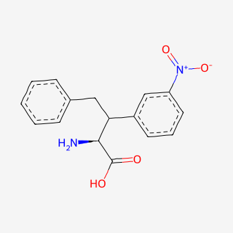 N[C@H](C(=O)O)C(Cc1ccccc1)c1cccc([N+](=O)[O-])c1